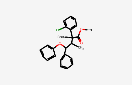 CCCC(C)C(C(=O)OC#N)(c1ccccc1Cl)C(C)C(Oc1ccccc1)c1ccccc1